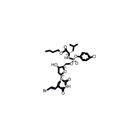 CCCCOC(=O)[C@H](CC(C)C)NP(=O)(OC[C@H]1O[C@@H](n2cc(/C=C/Br)c(=O)[nH]c2=O)CC1O)Oc1ccc(Cl)cc1